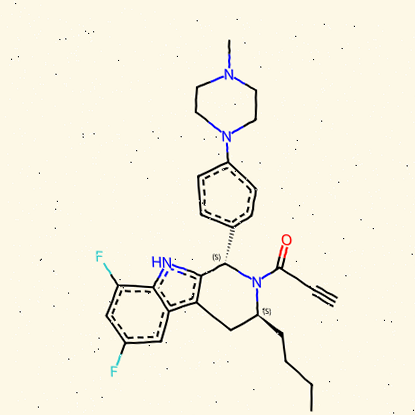 C#CC(=O)N1[C@@H](CCCC)Cc2c([nH]c3c(F)cc(F)cc23)[C@@H]1c1ccc(N2CCN(C)CC2)cc1